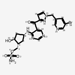 NS(=O)(=O)OC[C@H]1C[C@@H](Nc2ncncc2C(=O)c2ccn(Cc3cncc(Br)c3)n2)C[C@@H]1O